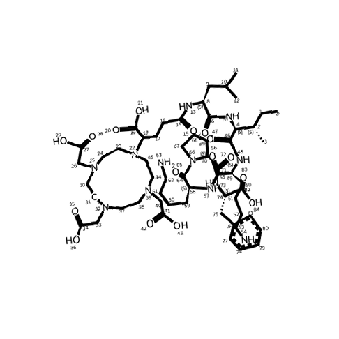 CC[C@H](C)[C@H](NC(=O)[C@H](CC(C)C)NC(=O)CCC(C(=O)O)N1CCN(CC(=O)O)CCN(CC(=O)O)CCN(CC(=O)O)CC1)C(=O)N[C@@H](CCCCN)C(=O)N[C@@H](CCCCN)C(=O)N1CCC[C@H]1C(=O)N[C@@H](Cc1ccccc1)C(=O)O